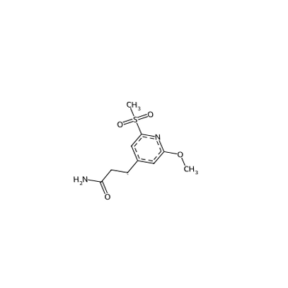 COc1cc([CH]CC(N)=O)cc(S(C)(=O)=O)n1